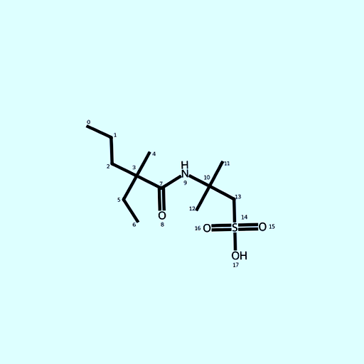 CCCC(C)(CC)C(=O)NC(C)(C)CS(=O)(=O)O